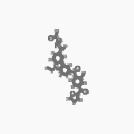 CCn1c2ccc(C(=O)c3ccc(C(=O)C4=CCCO4)cc3C)cc2c2cc(/C(C)=N/OC(C)=O)ccc21